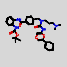 CN(C)CCCN(Cc1ccc(C(=O)Nc2ccccc2NC(=O)OC(C)(C)C)cc1)C(=O)NC1=COC=C(C2=CC=CCC2)O1